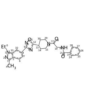 CCn1nc(C)c2ccc(-c3noc(C4CCN(C(=O)CNC(=O)c5ccccc5)CC4)n3)cc21